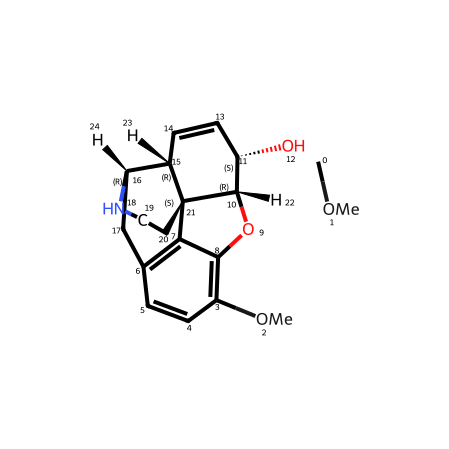 COC.COc1ccc2c3c1O[C@H]1[C@@H](O)C=C[C@H]4[C@@H](C2)NCC[C@@]341